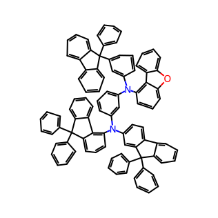 c1ccc(C2(c3cccc(N(c4cccc(N(c5ccc6c(c5)C(c5ccccc5)(c5ccccc5)c5ccccc5-6)c5cccc6c5-c5ccccc5C6(c5ccccc5)c5ccccc5)c4)c4cccc5oc6ccccc6c45)c3)c3ccccc3-c3ccccc32)cc1